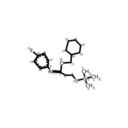 C[Si](C)(C)SCC/C(=N/c1ccc(F)cc1)OCC1CCCCC1